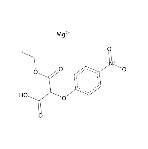 CCOC(=O)C(Oc1ccc([N+](=O)[O-])cc1)C(=O)O.[Mg+2]